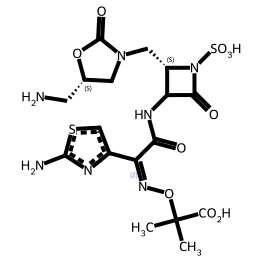 CC(C)(O/N=C(\C(=O)NC1C(=O)N(S(=O)(=O)O)[C@H]1CN1C[C@H](CN)OC1=O)c1csc(N)n1)C(=O)O